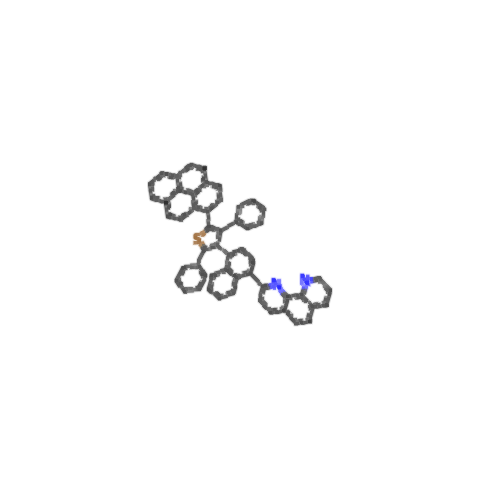 c1ccc(-c2sc(-c3ccc4ccc5cccc6ccc3c4c56)c(-c3ccccc3)c2-c2ccc(-c3ccc4ccc5cccnc5c4n3)c3ccccc23)cc1